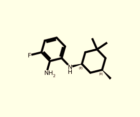 C[C@H]1C[C@@H](Nc2cccc(F)c2N)CC(C)(C)C1